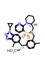 Cc1ccc([C@H](CC(=O)O)c2ccc3c(nnn3C3CC3)c2C)cc1CN1C[C@@H]2CCCCN2c2ncccc2S1(=O)=O